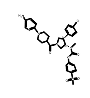 CN(C(=O)Oc1ccc(S(C)(=O)=O)cc1)[C@@H]1CN(C(=O)C2CCN(c3ccc(N)cn3)CC2)C[C@H]1c1ccc(Cl)cc1